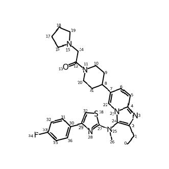 CCc1nc2ccc(C3CCN(C(=O)CN4CCCC4)CC3)cn2c1N(C)c1nc(-c2ccc(F)cc2)cs1